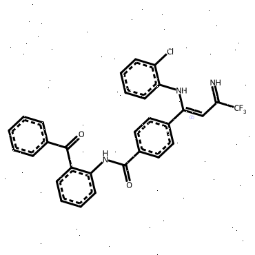 N=C(/C=C(\Nc1ccccc1Cl)c1ccc(C(=O)Nc2ccccc2C(=O)c2ccccc2)cc1)C(F)(F)F